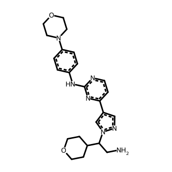 NCC(C1CCOCC1)n1cc(-c2ccnc(Nc3ccc(N4CCOCC4)cc3)n2)cn1